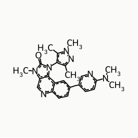 Cc1nn(C)c(C)c1-n1c(=O)n(C)c2cnc3ccc(-c4ccc(N(C)C)nc4)cc3c21